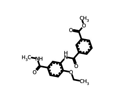 CCOc1ccc(C(=O)NC)cc1NC(=O)c1cccc(C(=O)OC)c1